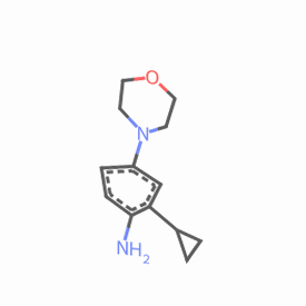 Nc1ccc(N2CCOCC2)cc1C1CC1